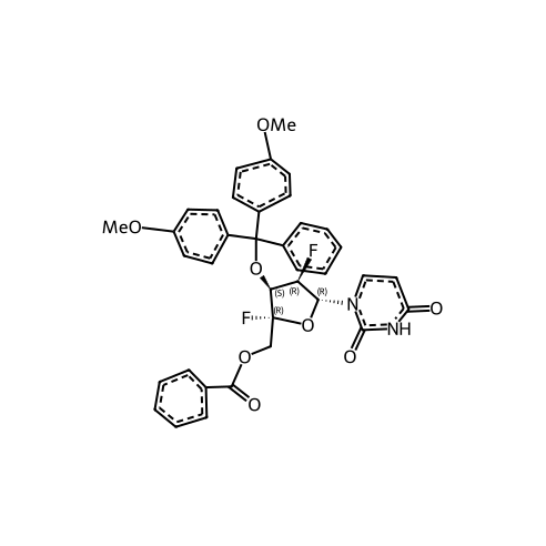 COc1ccc(C(O[C@H]2[C@@H](F)[C@H](n3ccc(=O)[nH]c3=O)O[C@@]2(F)COC(=O)c2ccccc2)(c2ccccc2)c2ccc(OC)cc2)cc1